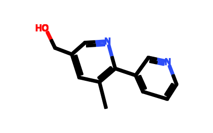 Cc1cc(CO)cnc1-c1cccnc1